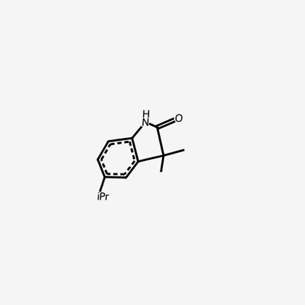 CC(C)c1ccc2c(c1)C(C)(C)C(=O)N2